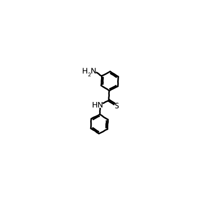 Nc1cccc(C(=S)Nc2ccccc2)c1